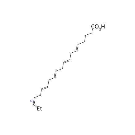 CC/C=C\CC=CCC=CCC=CCC=CCCCC(=O)O